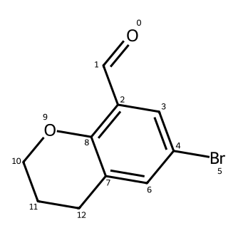 O=Cc1cc(Br)cc2c1OCCC2